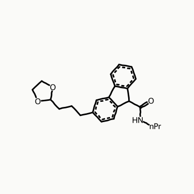 CCCNC(=O)C1c2ccccc2-c2cc(CCCC3OCCO3)ccc21